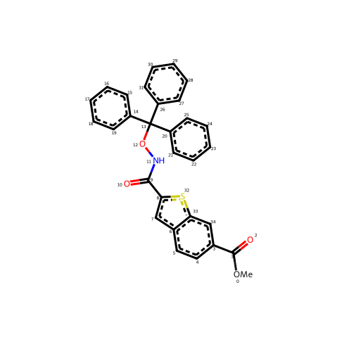 COC(=O)c1ccc2cc(C(=O)NOC(c3ccccc3)(c3ccccc3)c3ccccc3)sc2c1